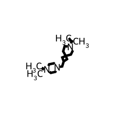 CC(C)N1CCN(CC2CC3(CCN(C(C)C)CC3)C2)CC1